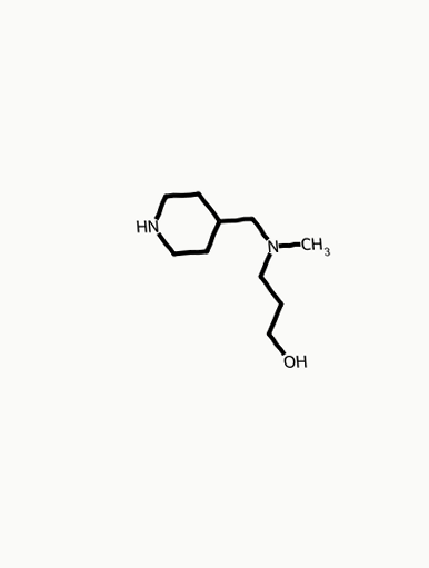 CN(CCCO)CC1CCNCC1